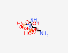 NCCCCC(O)(C(N)=O)N(CP(=O)(O)O)CP(=O)(O)O